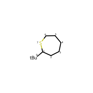 CC(C)(C)C1CCCCCS1